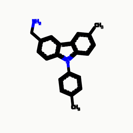 Cc1ccc(-n2c3ccc(C)cc3c3cc(CN)ccc32)cc1